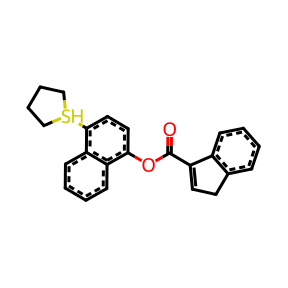 O=C(Oc1ccc([SH]2CCCC2)c2ccccc12)C1=CCc2ccccc21